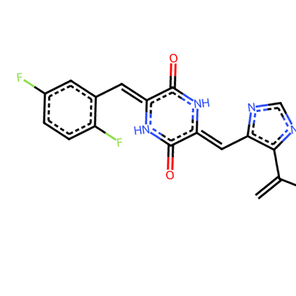 C=C(C)c1[nH]cnc1/C=c1\[nH]c(=O)/c(=C/c2cc(F)ccc2F)[nH]c1=O